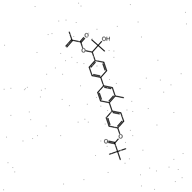 C=C(C)C(=O)OC(c1ccc(-c2ccc(-c3ccc(OC(=O)C(C)(C)C)cc3)c(C)c2)cc1)C(C)(C)O